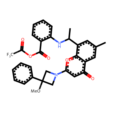 COC1(c2ccccc2)CN(c2cc(=O)c3cc(C)cc(C(C)Nc4ccccc4C(=O)OC(=O)C(F)(F)F)c3o2)C1